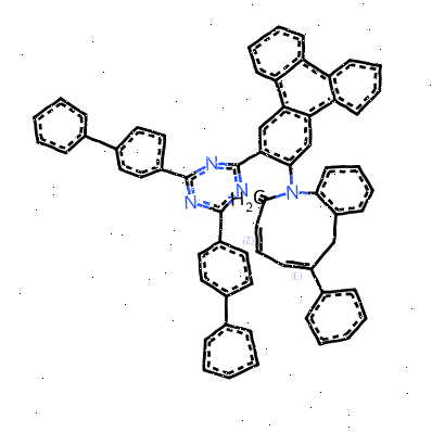 C=C1/C=C\C=C(\c2ccccc2)Cc2ccccc2N1c1cc2c3ccccc3c3ccccc3c2cc1-c1nc(-c2ccc(-c3ccccc3)cc2)nc(-c2ccc(-c3ccccc3)cc2)n1